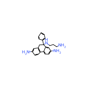 NCCCNC1(c2ccccc2)Cc2cc(N)ccc2-c2ccc(N)cc21